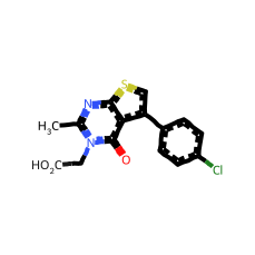 Cc1nc2scc(-c3ccc(Cl)cc3)c2c(=O)n1CC(=O)O